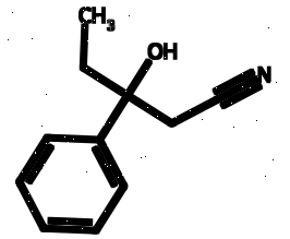 CCC(O)(CC#N)c1ccccc1